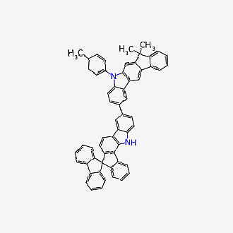 CC1C=CC(n2c3ccc(-c4ccc5[nH]c6c7c(ccc6c5c4)C4(c5ccccc5-c5ccccc54)c4ccccc4-7)cc3c3cc4c(cc32)C(C)(C)c2ccccc2-4)=CC1